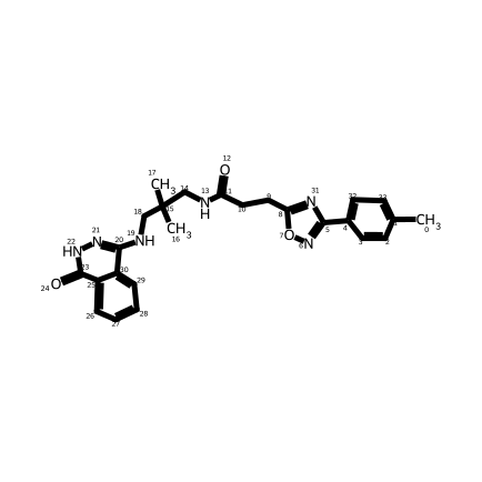 Cc1ccc(-c2noc(CCC(=O)NCC(C)(C)CNc3n[nH]c(=O)c4ccccc34)n2)cc1